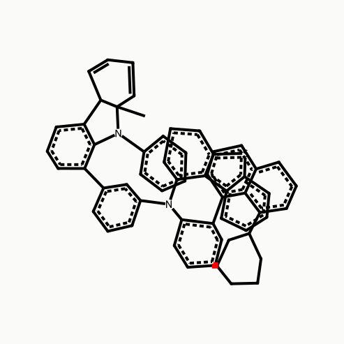 CC12C=CC=CC1c1cccc(-c3cccc(N(c4ccccc4-c4cccc5cccc(C6CCCCC6)c45)c4cccc5sc6ccccc6c45)c3)c1N2c1ccccc1